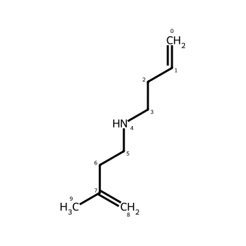 C=CCCNCCC(=C)C